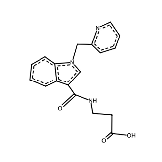 O=C(O)CCNC(=O)c1cn(Cc2ccccn2)c2ccccc12